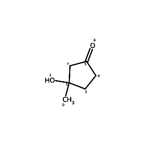 CC1(O)CCC(=O)C1